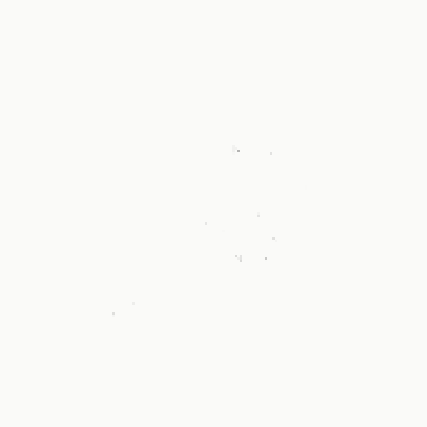 CC(C)Cn1ncc(-c2nnnn2Cc2ccc(C#N)cc2)c1S